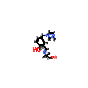 Cn1cc[n+](Cc2ccc(O)c(/C=N/C(C)(C)CO)c2)c1